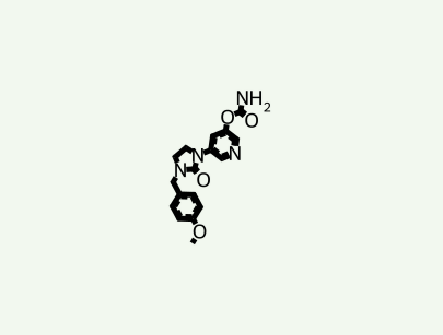 COc1ccc(CN2CCN(c3cncc(OC(N)=O)c3)C2=O)cc1